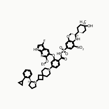 CCOc1nc2[nH]cc(F)c2cc1Oc1cc(N2CCC3(CC2)CC(N2CCC[C@H]2c2ccccc2C2CC2)C3)ccc1C(=O)NS(=O)(=O)c1cc2c(c([N+](=O)[O-])c1)N[C@@H]([C@H]1CC[C@](C)(O)CC1)CO2